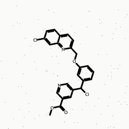 COC(=O)c1cncc(C(Cl)c2cccc(OCc3ccc4ccc(Cl)cc4n3)c2)c1